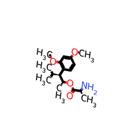 COc1ccc([C@H](C(C)C)[C@H](C)OC(=O)[C@H](C)N)c(OC)c1